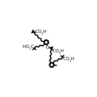 Cc1cccc(CCCCCC2(C(=O)O)CC2Oc2cccc(CCCCCC3(C(=O)O)CC3)c2CCCCC(C)(C)C(=O)O)c1CCCCC(C)(C)C(=O)O